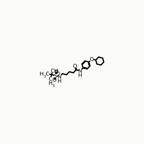 CC(C)(C)S(=O)(=O)NCCCCC(=O)Nc1ccc(OC2CCCCC2)cc1